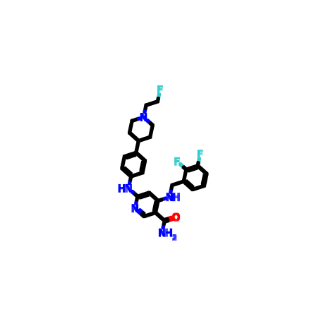 NC(=O)c1cnc(Nc2ccc(C3CCN(CCF)CC3)cc2)cc1NCc1cccc(F)c1F